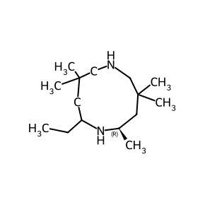 CCC1CC(C)(C)CNCC(C)(C)C[C@@H](C)N1